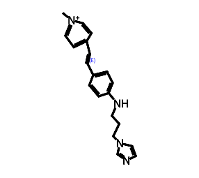 C[n+]1ccc(/C=C/c2ccc(NCCCn3ccnc3)cc2)cc1